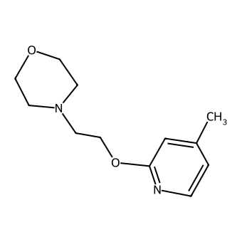 Cc1ccnc(OCCN2CCOCC2)c1